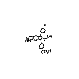 CC(C)(CO)c1c(-c2ccc(C(=O)O)cc2)c2cc3[nH]ncc3cc2n1-c1ccc(F)cc1